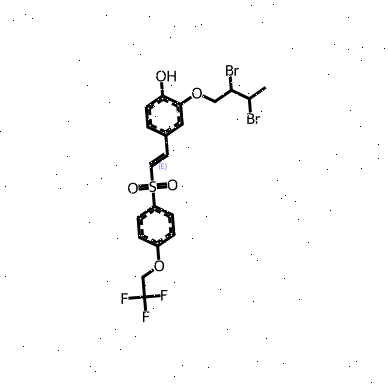 CC(Br)C(Br)COc1cc(/C=C/S(=O)(=O)c2ccc(OCC(F)(F)F)cc2)ccc1O